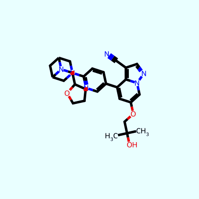 CC(C)(O)COc1cc(-c2ccc(N3CC4CC(C3)N4CC3CCCO3)nc2)c2c(C#N)cnn2c1